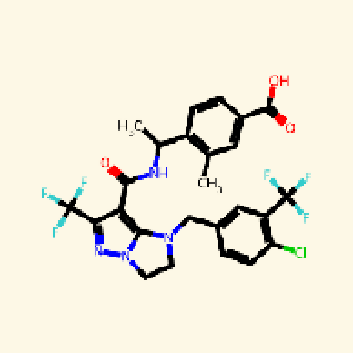 Cc1cc(C(=O)O)ccc1C(C)NC(=O)c1c(C(F)(F)F)nn2c1N(Cc1ccc(Cl)c(C(F)(F)F)c1)CC2